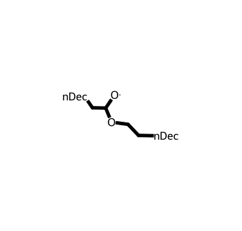 CCCCCCCCCCCCOC([O])CCCCCCCCCCC